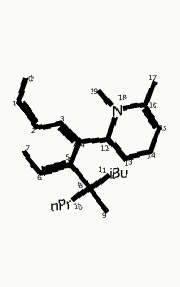 C\C=C/C=C(\C(=C/C)C(C)(CCC)C(C)CC)C1CCC=C(C)N1C